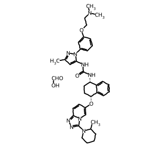 Cc1cc(NC(=O)N[C@H]2CC[C@@H](Oc3ccc4nnc(N5CCCCC5C)n4c3)c3ccccc32)n(-c2cccc(OCCN(C)C)c2)n1.O=CO